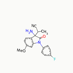 COc1ccc2c(c1)N(c1ccc(F)cc1)C(=O)C2(N)C(C)C#N